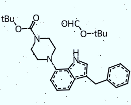 CC(C)(C)OC(=O)N1CCN(c2cccc3c(Cc4ccccc4)c[nH]c23)CC1.CC(C)(C)OC=O